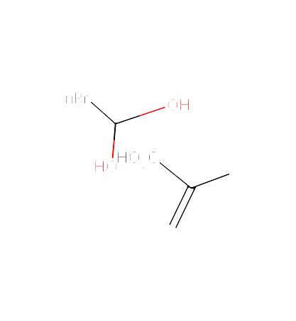 C=C(C)C(=O)O.CCCC(O)O